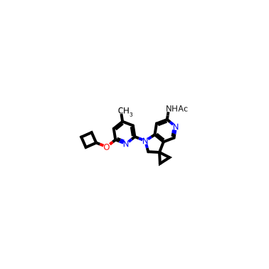 CC(=O)Nc1cc2c(cn1)C1(CC1)CN2c1cc(C)cc(OC2CCC2)n1